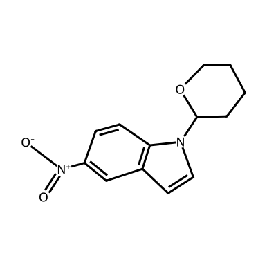 O=[N+]([O-])c1ccc2c(ccn2C2CCCCO2)c1